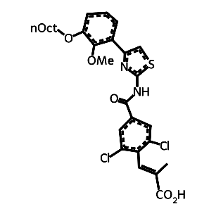 CCCCCCCCOc1cccc(-c2csc(NC(=O)c3cc(Cl)c(C=C(C)C(=O)O)c(Cl)c3)n2)c1OC